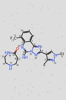 CCn1cc(-c2nc3c4cccc(C(F)(F)F)c4nc(N[C@@H]4CNCCNC4=O)n3n2)c(C)n1